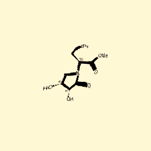 COC(=O)[C@H](CC(C)C)N1C[C@@H](O)[C@@H](O)C1=O